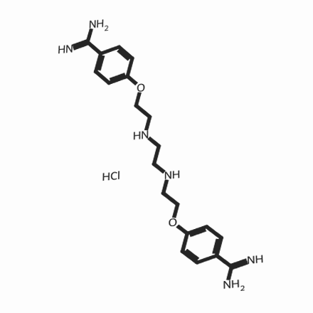 Cl.N=C(N)c1ccc(OCCNCCNCCOc2ccc(C(=N)N)cc2)cc1